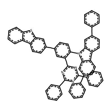 c1ccc(-c2ccc3c4ccc(-c5ccccc5)cc4n(-c4ccc(-c5ccc6c(c5)sc5ccccc56)cc4-c4nc(-c5ccccc5)nc(-c5ccccc5)n4)c3c2)cc1